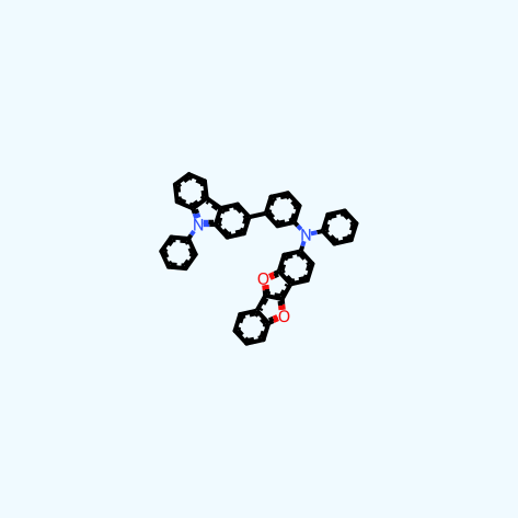 c1ccc(N(c2cccc(-c3ccc4c(c3)c3ccccc3n4-c3ccccc3)c2)c2ccc3c(c2)oc2c4ccccc4oc32)cc1